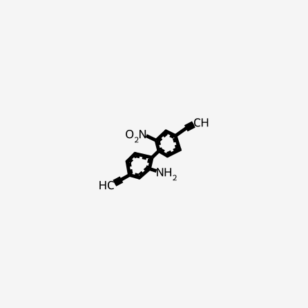 C#Cc1ccc(-c2ccc(C#C)cc2[N+](=O)[O-])c(N)c1